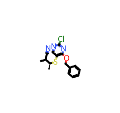 CC(C#N)[C@H](C)Sc1cnc(Cl)nc1OCc1ccccc1